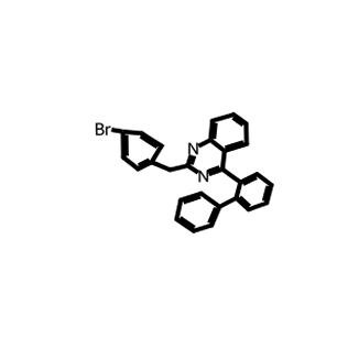 Brc1ccc(Cc2nc(-c3ccccc3-c3ccccc3)c3ccccc3n2)cc1